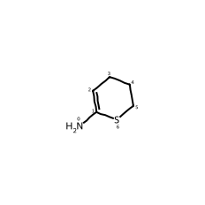 NC1=CCCCS1